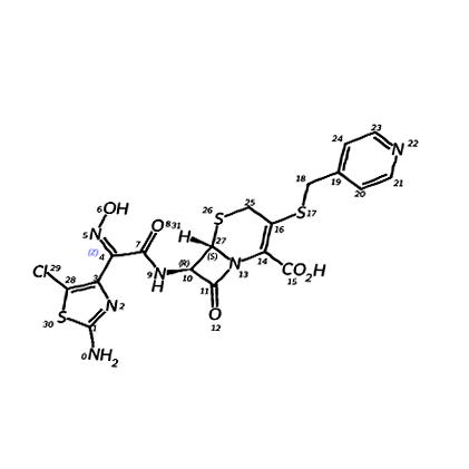 Nc1nc(/C(=N/O)C(=O)N[C@@H]2C(=O)N3C(C(=O)O)=C(SCc4ccncc4)CS[C@@H]23)c(Cl)s1